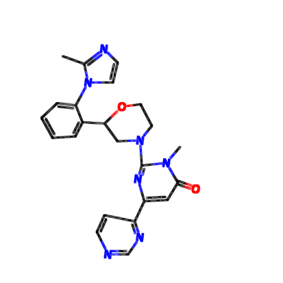 Cc1nccn1-c1ccccc1C1CN(c2nc(-c3ccncn3)cc(=O)n2C)CCO1